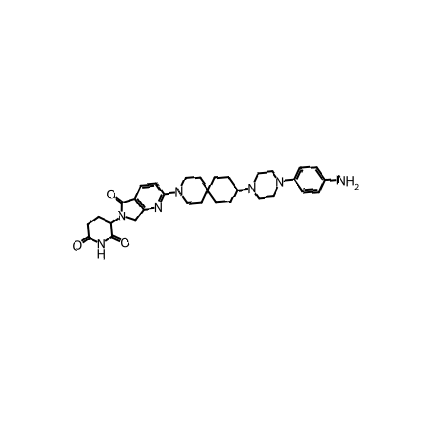 Nc1ccc(N2CCN(C3CCC4(CC3)CCN(c3ccc5c(n3)CN(C3CCC(=O)NC3=O)C5=O)CC4)CC2)cc1